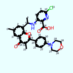 Cc1cc(C(C)Nc2ccc(Cl)nc2C(=O)O)c2oc(-c3ccc(N4CCOCC4)cc3)c(C)c(=O)c2c1